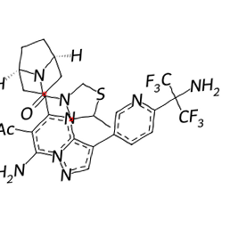 CC(=O)c1c(C2C[C@H]3CC[C@@H](C2)N3C(=O)N2CSC(C)C2)nc2c(-c3ccc(C(N)(C(F)(F)F)C(F)(F)F)nc3)cnn2c1N